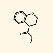 COC(=O)[C@@H]1CCOc2ccccc21